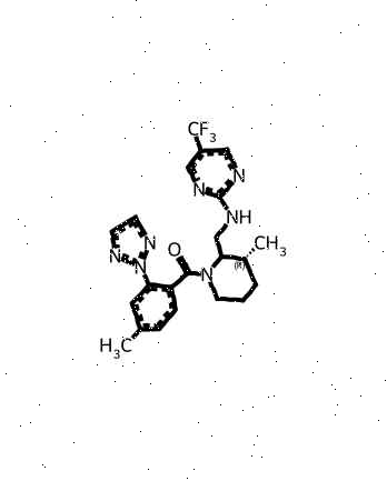 Cc1ccc(C(=O)N2CCC[C@@H](C)C2CNc2ncc(C(F)(F)F)cn2)c(-n2nccn2)c1